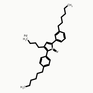 CCCCCCc1ccc(C2=C(CCCC)C=C(c3cccc(CCCCCC)c3)[N+]2=[N-])cc1.[Pd]